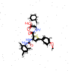 COc1ccc(-c2cc(NC(=O)Nc3c(C)cc(C)cc3C)c(C(=O)N[C@@H](CC3CCCCC3)C(=O)O)s2)cc1